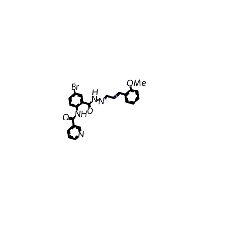 COc1ccccc1/C=C/C=N/NC(=O)c1cc(Br)ccc1NC(=O)c1cccnc1